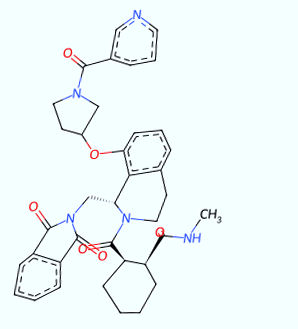 CNC(=O)[C@H]1CCCC[C@H]1C(=O)N1CCc2cccc(OC3CCN(C(=O)c4cccnc4)C3)c2[C@H]1CN1C(=O)c2ccccc2C1=O